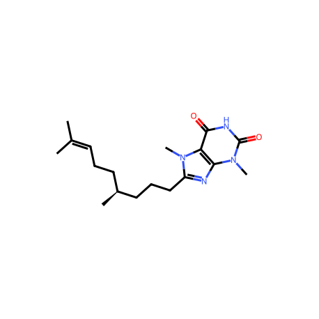 CC(C)=CCC[C@H](C)CCCc1nc2c(c(=O)[nH]c(=O)n2C)n1C